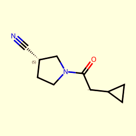 N#C[C@H]1CCN(C(=O)[CH]C2CC2)C1